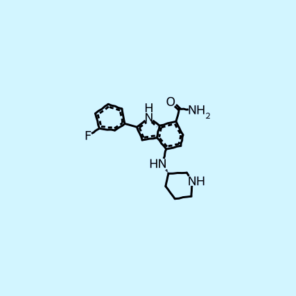 NC(=O)c1ccc(N[C@H]2CCCNC2)c2cc(-c3cccc(F)c3)[nH]c12